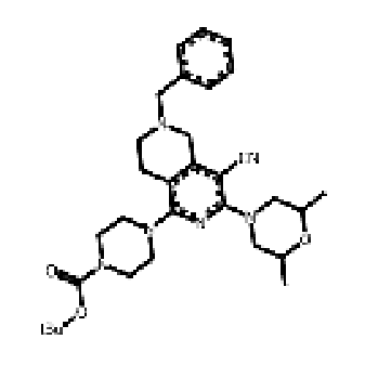 CC1CN(c2nc(N3CCN(C(=O)OC(C)(C)C)CC3)c3c(c2C#N)CN(Cc2ccccc2)CC3)CC(C)O1